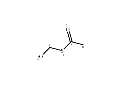 CC(=O)SC[O]